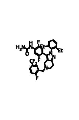 CCc1cccc(CC)c1-n1nc2c(c1-c1cc(F)c(NC(N)=O)cc1F)CN(Cc1cc(C(F)(F)F)ccc1F)CC2